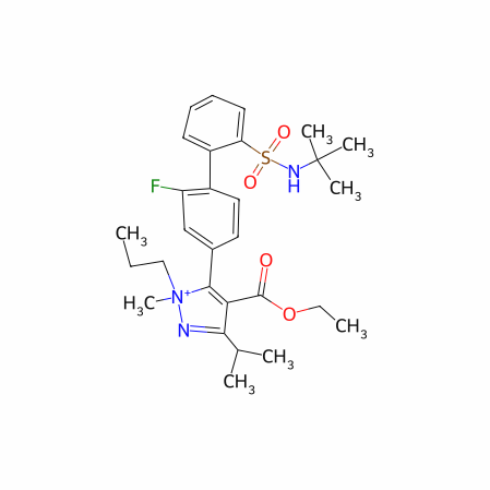 CCC[N+]1(C)N=C(C(C)C)C(C(=O)OCC)=C1c1ccc(-c2ccccc2S(=O)(=O)NC(C)(C)C)c(F)c1